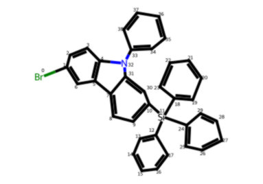 Brc1ccc2c(c1)c1ccc([Si](c3ccccc3)(c3ccccc3)c3ccccc3)cc1n2-c1ccccc1